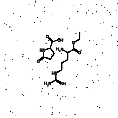 CCOC(=O)C(N)CCCNC(=N)N.O=C1CCC(C(=O)O)N1